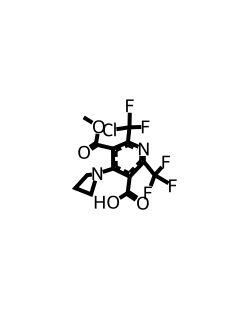 COC(=O)c1c(C(F)(F)Cl)nc(C(F)(F)F)c(C(=O)O)c1N1CCC1